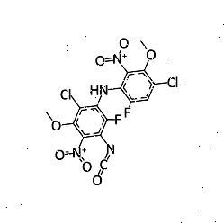 COc1c(Cl)c(Nc2c(F)cc(Cl)c(OC)c2[N+](=O)[O-])c(F)c(N=C=O)c1[N+](=O)[O-]